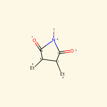 CCC1C(=O)N(I)C(=O)C1CC